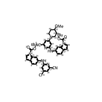 CC(C)(C)OC(=O)n1ccc2ccc(Nc3cc(Cl)cc(C#N)n3)cc21.COC1CCN(c2cc(C#N)nc(Nc3ccc4ccn(C(=O)OC(C)(C)C)c4c3)c2)CC1